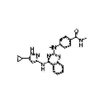 CNC(=O)c1ccc(Nc2nc(Nc3cc(C4CC4)[nH]n3)c3ccccc3n2)cc1